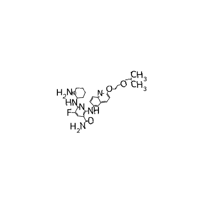 CC(C)COCCOc1ccc2cc(Nc3nc(NC4CCCC[C@@H]4N)c(F)cc3C(N)=O)ccc2n1